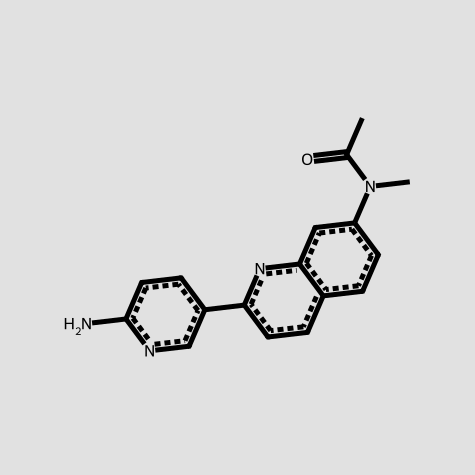 CC(=O)N(C)c1ccc2ccc(-c3ccc(N)nc3)nc2c1